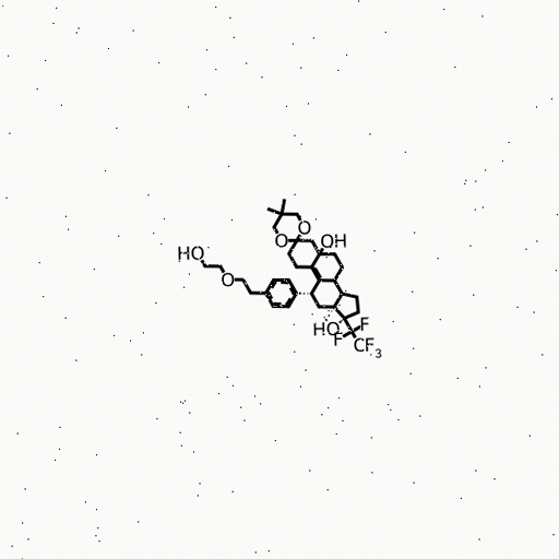 CC1(C)COC2(CCC3=C4C(CCC3(O)C2)C2CC[C@@](O)(C(F)(F)C(F)(F)F)[C@@]2(C)C[C@@H]4c2ccc(CCOCCO)cc2)OC1